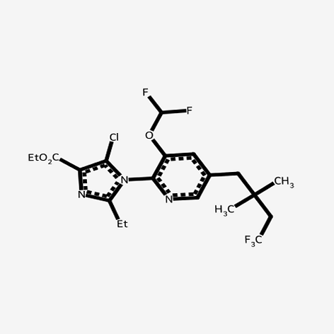 CCOC(=O)c1nc(CC)n(-c2ncc(CC(C)(C)CC(F)(F)F)cc2OC(F)F)c1Cl